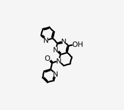 O=C(c1ccccn1)N1CCCc2c(O)nc(-c3ccccn3)nc21